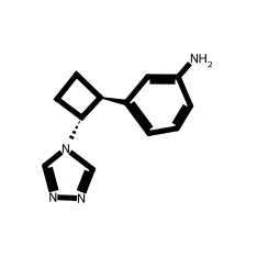 Nc1cccc([C@@H]2CC[C@H]2n2cnnc2)c1